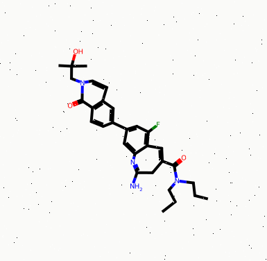 CCCN(CCC)C(=O)C1=Cc2c(F)cc(-c3ccc4c(=O)n(CC(C)(C)O)ccc4c3)cc2N=C(N)C1